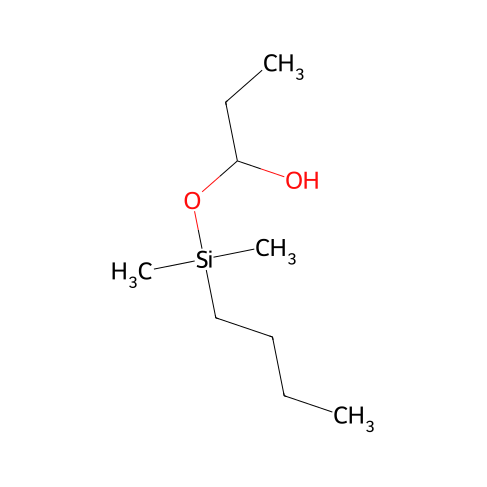 CCCC[Si](C)(C)OC(O)CC